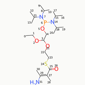 CCOC(COP(N(C(C)C)C(C)C)N(C(C)C)C(C)C)OCCSC(=O)/C(C)=C(\C)N